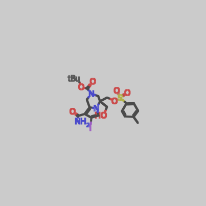 Cc1ccc(S(=O)(=O)OCC2(CO)CN(C(=O)OC(C)(C)C)Cc3c(C(N)=O)c(I)cn32)cc1